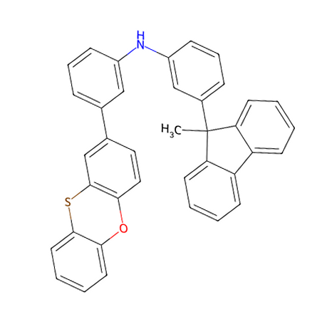 CC1(c2cccc(Nc3cccc(-c4ccc5c(c4)Sc4ccccc4O5)c3)c2)c2ccccc2-c2ccccc21